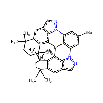 CC(C)(C)c1cc2c3c(c1)-n1ncc4cc5c(c(c41)B3c1c3c(cc4cnn-2c14)C(C)(C)CCC3(C)C)C(C)(C)CCC5(C)C